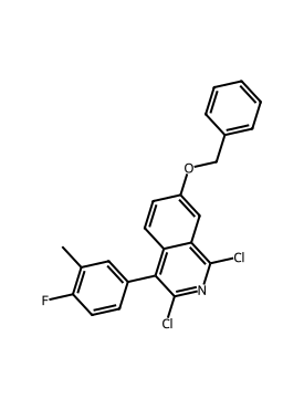 Cc1cc(-c2c(Cl)nc(Cl)c3cc(OCc4ccccc4)ccc23)ccc1F